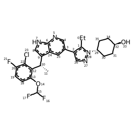 CCc1c(-c2cnc3[nH]cc([C@H](C)c4c(OC(F)F)ccc(F)c4Cl)c3c2)cnn1[C@H]1CC[C@H](O)CC1